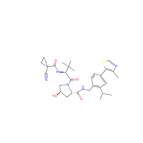 Cc1ncsc1-c1ccc(CNC(=O)[C@@H]2C[C@@H](O)CN2C(=O)[C@@H](NC(=O)C2(C#N)CC2)C(C)(C)C)c(C(C)C)c1